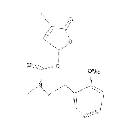 COc1ccccc1CCN(C)C(=O)OC1C=C(C)C(=O)O1